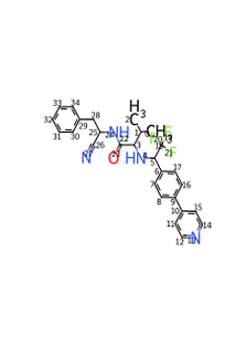 CC(C)C(NC(c1ccc(-c2ccncc2)cc1)C(F)(F)F)C(=O)NC(C#N)Cc1ccccc1